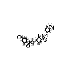 O=C(NCc1ccn2ccnc2c1)c1ccc(C2CN(C(=O)c3ccc(Cl)cc3)C2)cc1